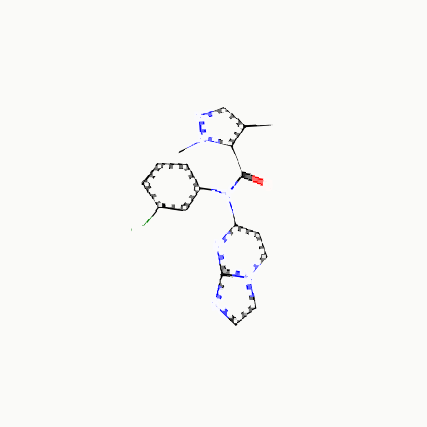 CCOC(=O)c1cnn(C)c1C(=O)N(c1cccc(Cl)c1)c1ccn2ccnc2n1